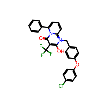 O=c1c(C(F)(F)F)c(O)[n+](Cc2ccc(Oc3ccc(Cl)cc3)cc2)c2cccc(-c3ccccc3)n12